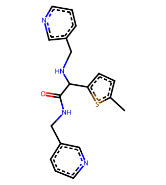 Cc1ccc(C(NCc2cccnc2)C(=O)NCc2cccnc2)s1